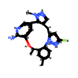 CCn1ncc2c1-c1cnc(N)c(c1)OC(C)c1cc(C)ccc1-n1nc(F)cc1C2